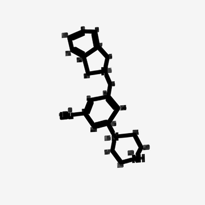 CC(C)(C)c1cc(CN2Cc3ccccc3C2)cc(N2CCNCC2)c1